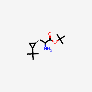 CC(C)(C)OC(=O)C(N)C[C@H]1CC1C(C)(C)C